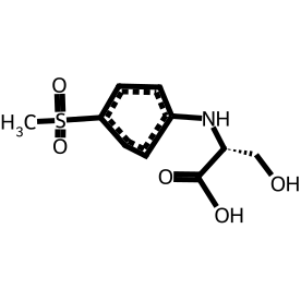 CS(=O)(=O)c1ccc(N[C@H](CO)C(=O)O)cc1